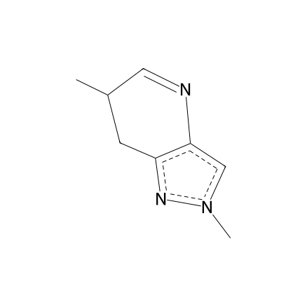 CC1C=Nc2cn(C)nc2C1